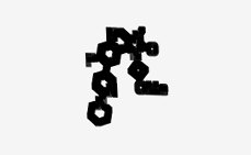 CO[C@H]1C[C@@H](n2c(=O)n(C)c3cnc4cc(F)c(-c5ccc(N6CCCCC6)nc5)cc4c32)C1